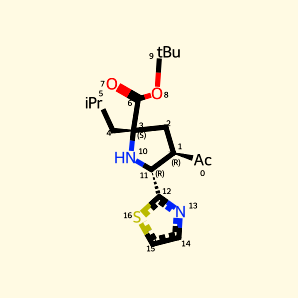 CC(=O)[C@@H]1C[C@@](CC(C)C)(C(=O)OC(C)(C)C)N[C@H]1c1nccs1